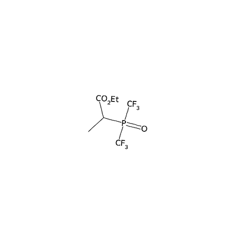 CCOC(=O)C(C)P(=O)(C(F)(F)F)C(F)(F)F